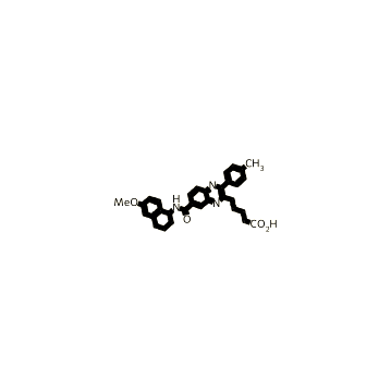 COc1ccc2c(c1)CCCC2NC(=O)c1ccc2nc(-c3ccc(C)cc3)c(CCCCC(=O)O)nc2c1